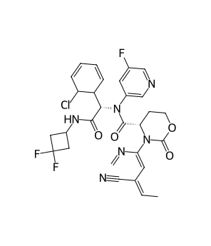 C=N/C(=C\C(C#N)=C/C)N1C(=O)OCC[C@H]1C(=O)N(c1cncc(F)c1)[C@H](C(=O)NC1CC(F)(F)C1)C1C=CC=CC1Cl